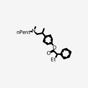 CCCCCN(C)CC(C)c1ccc(OC(=O)C(CC)c2ccccc2)cc1